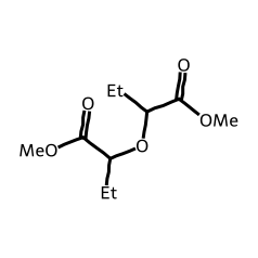 CCC(OC(CC)C(=O)OC)C(=O)OC